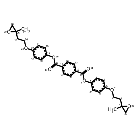 CC1(CCOc2ccc(OC(=O)c3ccc(C(=O)Oc4ccc(OCCC5(C)CO5)cc4)cc3)cc2)CO1